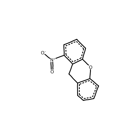 O=[N+]([O-])c1cccc2c1Cc1ccccc1O2